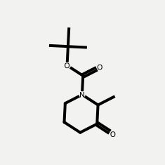 CC1C(=O)CCCN1C(=O)OC(C)(C)C